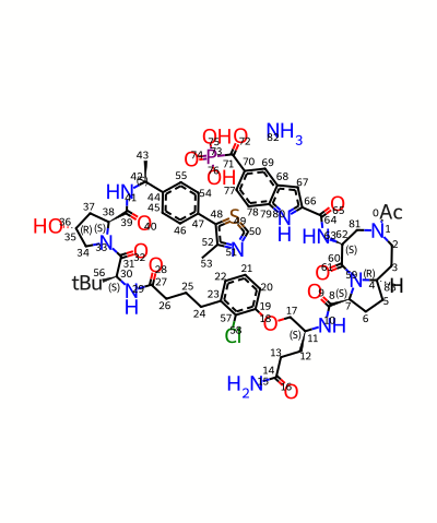 CC(=O)N1CC[C@H]2CC[C@@H](C(=O)N[C@@H](CCC(N)=O)COc3cccc(CCCC(=O)N[C@H](C(=O)N4C[C@H](O)C[C@H]4C(=O)N[C@@H](C)c4ccc(-c5scnc5C)cc4)C(C)(C)C)c3Cl)N2C(=O)[C@@H](NC(=O)c2cc3cc(C(=O)P(=O)(O)O)ccc3[nH]2)C1.N